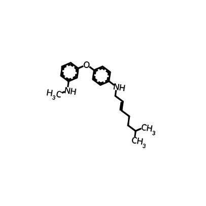 CNc1cccc(Oc2ccc(NCC=CCCC(C)C)cc2)c1